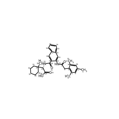 Cc1cc(C)c(CC(=O)Nc2cc3ccccc3cc2C(=O)N[C@H](C(=O)O)C2(C)CCCCC2)c(C)c1